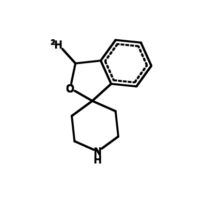 [2H]C1OC2(CCNCC2)c2ccccc21